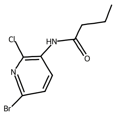 CCCC(=O)Nc1ccc(Br)nc1Cl